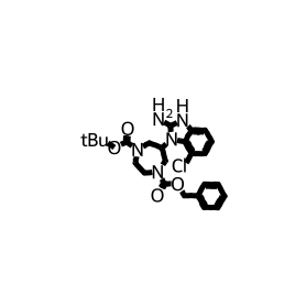 CC(C)(C)OC(=O)N1CCN(C(=O)OCc2ccccc2)CC(N2c3c(Cl)cccc3NC2N)C1